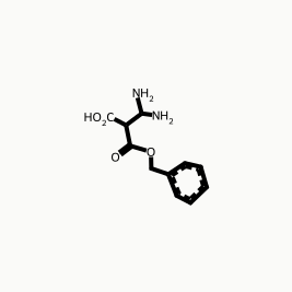 NC(N)C(C(=O)O)C(=O)OCc1ccccc1